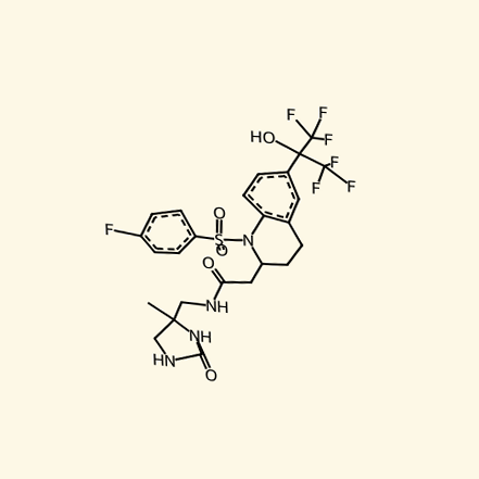 CC1(CNC(=O)CC2CCc3cc(C(O)(C(F)(F)F)C(F)(F)F)ccc3N2S(=O)(=O)c2ccc(F)cc2)CNC(=O)N1